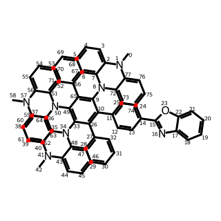 CN1c2ccccc2N(c2c(-c3ccc(-c4nc5ccccc5o4)cc3)c(-c3ccccc3)c(N3c4ccccc4N(C)c4ccccc43)c(N3c4ccccc4N(C)c4ccccc43)c2-c2ccccc2)c2ccccc21